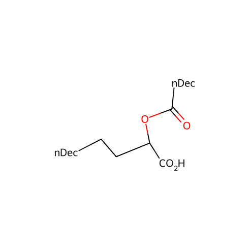 CCCCCCCCCCCCC(OC(=O)CCCCCCCCCC)C(=O)O